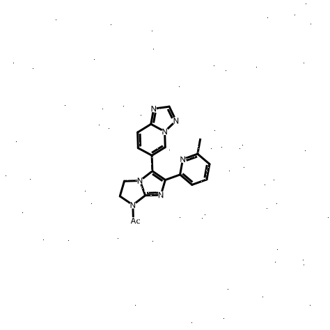 CC(=O)N1CCn2c1nc(-c1cccc(C)n1)c2-c1ccc2ncnn2c1